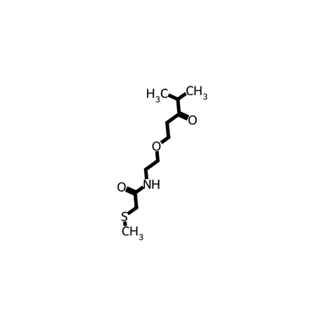 CSCC(=O)NCCOCCC(=O)C(C)C